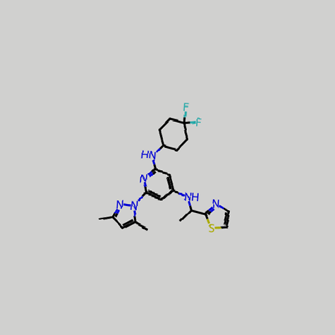 Cc1cc(C)n(-c2cc(NC(C)c3nccs3)cc(NC3CCC(F)(F)CC3)n2)n1